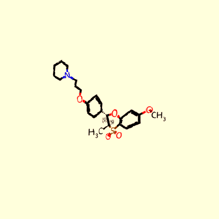 COc1ccc2c(c1)O[C@@H](C1C=CC(OCCCN3CCCCC3)=CC1)[C@H](C)S2(=O)=O